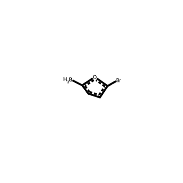 Bc1ccc(Br)o1